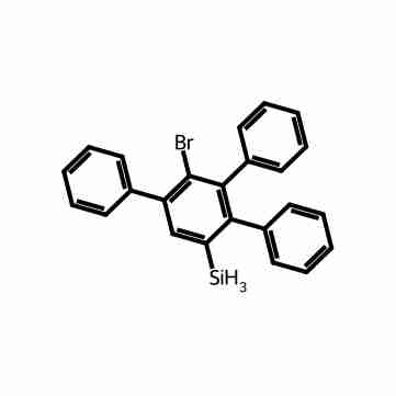 [SiH3]c1cc(-c2ccccc2)c(Br)c(-c2ccccc2)c1-c1ccccc1